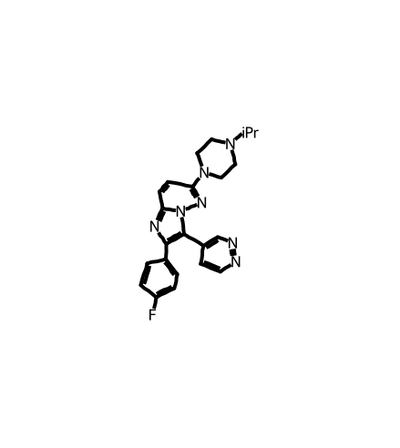 CC(C)N1CCN(c2ccc3nc(-c4ccc(F)cc4)c(-c4ccnnc4)n3n2)CC1